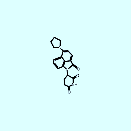 O=C1CCC(N2C(=O)c3ccc(N4CCCC4)c4cccc2c34)C(=O)N1